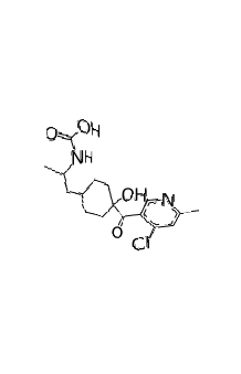 Cc1cc(Cl)c(C(=O)C2(O)CCC(CC(C)NC(=O)O)CC2)cn1